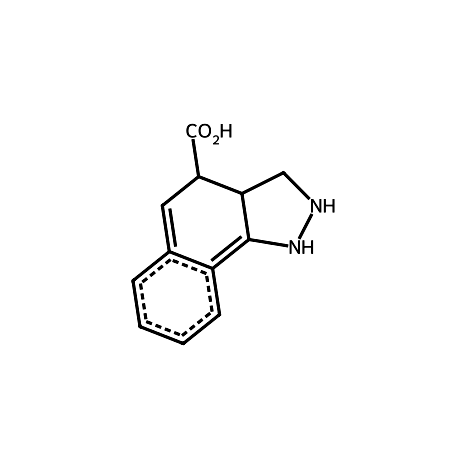 O=C(O)C1C=c2ccccc2=C2NNCC21